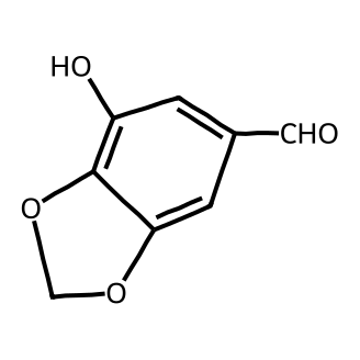 O=Cc1cc(O)c2c(c1)OCO2